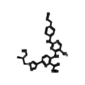 CNC(=O)c1nc(-c2cnn(C[C@@H](C)CO)c2)ccc1Nc1nc(Nc2ccc(CP=O)cc2)ncc1C(F)(F)F